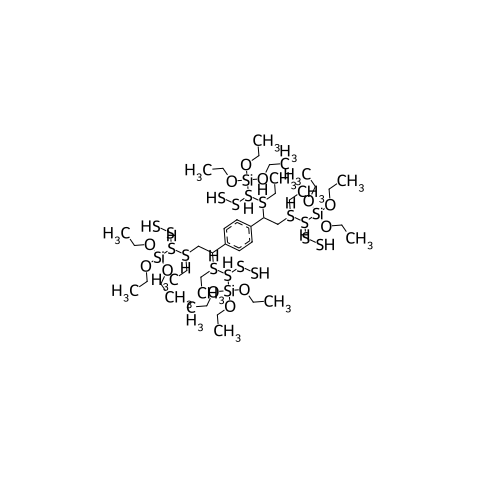 CCO[Si](OCC)(OCC)[SH](SS)[SH](CC)CC(c1ccc(C(C[SH](CC)[SH](SS)[Si](OCC)(OCC)OCC)[SH](CC)[SH](SS)[Si](OCC)(OCC)OCC)cc1)[SH](CC)[SH](SS)[Si](OCC)(OCC)OCC